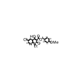 CCn1c(=O)c(C(=O)OCc2ccc(OC)cc2)c(O)c2cc(Cl)cnc21